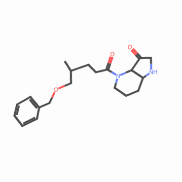 CC(CCC(=O)N1CCCC2NCC(=O)C21)COCc1ccccc1